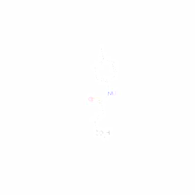 Cc1ccc(NC(=O)C=CC(=O)O)cc1